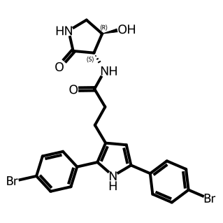 O=C(CCc1cc(-c2ccc(Br)cc2)[nH]c1-c1ccc(Br)cc1)N[C@@H]1C(=O)NC[C@H]1O